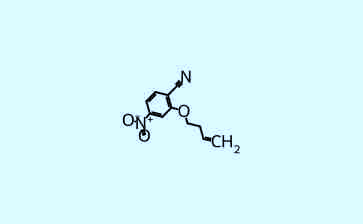 C=CCCOc1cc([N+](=O)[O-])ccc1C#N